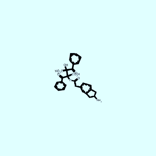 NC1Cc2ccc(CC(=O)OC(C(=O)O)(C(=O)c3ccccc3)C(O)(C(=O)O)C(=O)c3ccccc3)cc2C1